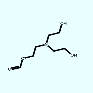 O=COCCN(CCO)CCO